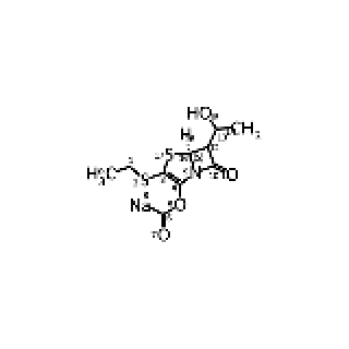 CCSC1=C(O[C](=O)[Na])N2C(=O)C(C(C)O)[C@@H]2S1